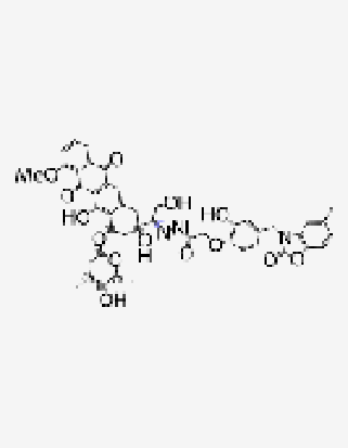 COc1cccc2c1C(=O)c1c(cc3c(c1O)[C@H](O[C@@H]1C[C@@H](C)[C@@H](O)[C@@H](C)O1)C[C@@](O)(/C(CO)=N/NC(=O)COc1ccc(Cn4c(=O)oc5ccc(C)cc54)cc1O)C3)C2=O